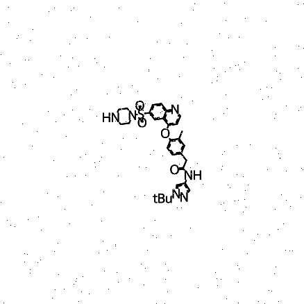 Cc1cc(CC(=O)Nc2cnn(C(C)(C)C)c2)ccc1Oc1ccnc2ccc(S(=O)(=O)N3CCNCC3)cc12